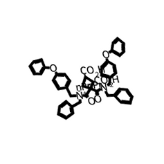 CCC[N@@+](Cc1ccccc1)(Cc1ccc(Oc2ccccc2)cc1)C(=O)C1(C(=O)[N@+](CCC)(Cc2ccccc2)Cc2ccc(Oc3ccccc3)cc2)C[C@@H](C(=O)O)[C@@H]1C(=O)O